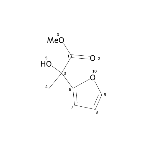 COC(=O)C(C)(O)c1ccco1